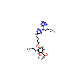 CCCc1c(OCCCCc2nnn(C(CCC)c3nnn[nH]3)n2)ccc(C(C)=O)c1O